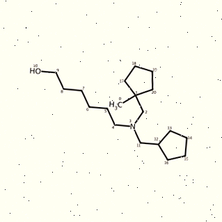 CC1(CN(CCCCCCO)CC2CCCC2)CCCC1